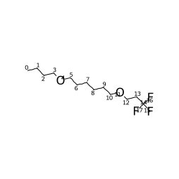 CCCCOCCCCCCOCCC(F)(F)F